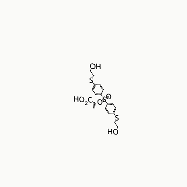 C=CC(=O)O.O=S(=O)(c1ccc(SCCO)cc1)c1ccc(SCCO)cc1